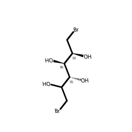 OC(CBr)[C@@H](O)[C@@H](O)[C@H](O)CBr